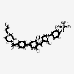 CC(C)[Si](OC1CCC(N2CCC(Cc3c(Cl)cc(-c4ccc(C(=O)N5CCN(CCF)CC5)cc4)cc3Cl)C2=O)CC1)(C(C)C)C(C)C